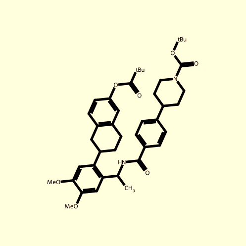 COc1cc(C2CCc3cc(OC(=O)C(C)(C)C)ccc3C2)c(C(C)NC(=O)c2ccc(C3CCN(C(=O)OC(C)(C)C)CC3)cc2)cc1OC